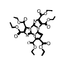 CCOC(=O)c1cc2n(c1C(=O)OCC)c1nc(C(=O)OCC)c(C(=O)OCC)n1c1nc(C(=O)OCC)c(C(=O)OCC)n21